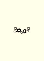 O=C(Cl)N1CCC(Oc2ccc(Cl)c(Cl)c2)CC1